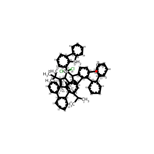 CC(C)c1ccc2c(c1-c1ccccc1-c1ccccc1)C=C(C(C)(C)C)[CH]2[Zr]([Cl])([Cl])([c]1cccc2c1[SiH2]c1ccccc1-2)[CH]1C(C(C)(C)C)=Cc2c1ccc(C(C)C)c2-c1ccccc1-c1ccccc1